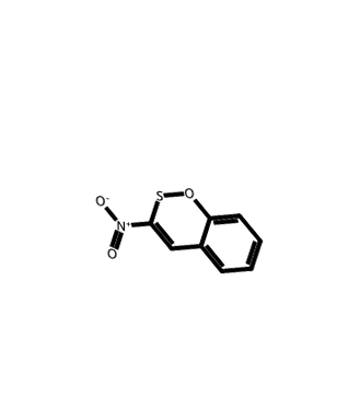 O=[N+]([O-])C1=Cc2ccccc2OS1